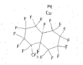 FC(F)(F)C1(F)C(F)(F)C(F)(F)C(F)(F)C2(F)C(F)(F)C(F)(F)C(F)(F)C(F)(F)C12F.[Cu].[Pt]